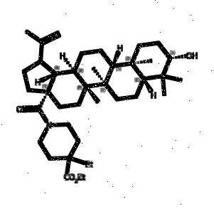 C=C(C)C1CC[C@]2(C(=O)N3CCC(CC)(C(=O)OCC)CC3)CC[C@]3(C)[C@H](CC[C@@H]4[C@@]5(C)CC[C@H](O)C(C)(C)[C@@H]5CC[C@]43C)[C@@H]12